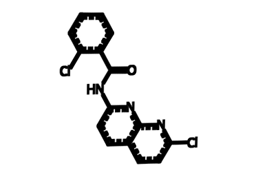 O=C(Nc1ccc2ccc(Cl)nc2n1)c1ccccc1Cl